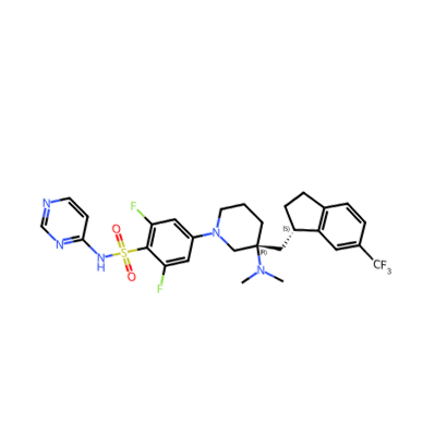 CN(C)[C@@]1(C[C@@H]2CCc3ccc(C(F)(F)F)cc32)CCCN(c2cc(F)c(S(=O)(=O)Nc3ccncn3)c(F)c2)C1